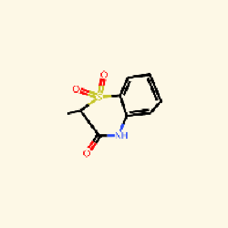 CC1C(=O)Nc2ccccc2S1(=O)=O